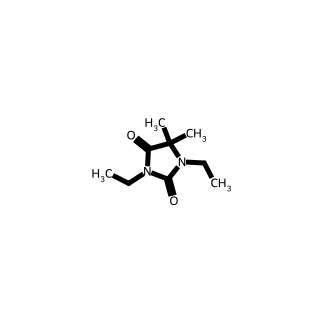 CCN1C(=O)N(CC)C(C)(C)C1=O